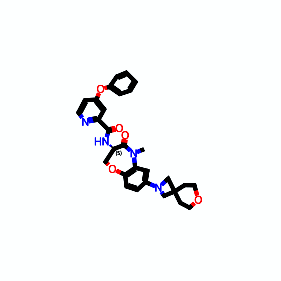 CN1C(=O)[C@@H](NC(=O)c2cc(Oc3ccccc3)ccn2)COc2ccc(N3CC4(CCOCC4)C3)cc21